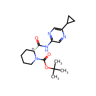 CC(C)(C)OC(=O)N1CCCC[C@@H]1C(=O)Nc1cnc(C2CC2)cn1